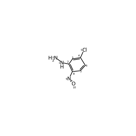 NNc1cc(Cl)ccc1N=O